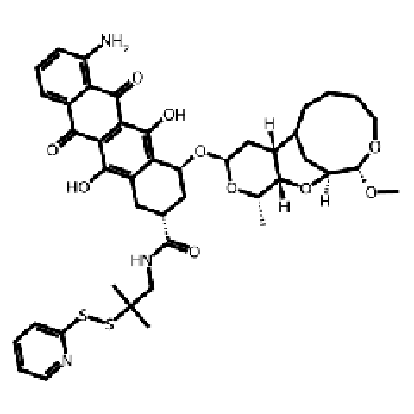 CO[C@H]1OCCCCC2C[C@@H]1O[C@@H]1[C@H](C)O[C@@H](O[C@H]3C[C@H](C(=O)NCC(C)(C)SSc4ccccn4)Cc4c(O)c5c(c(O)c43)C(=O)c3c(N)cccc3C5=O)C[C@H]21